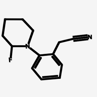 N#CCc1ccccc1N1CCCCC1F